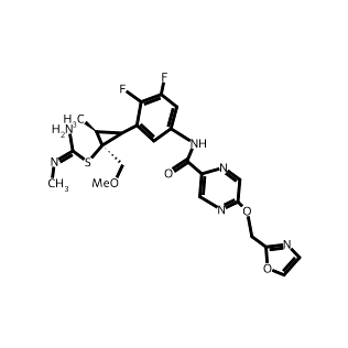 C/N=C(/N)S[C@]1(COC)C(c2cc(NC(=O)c3cnc(OCc4ncco4)cn3)cc(F)c2F)[C@@H]1C